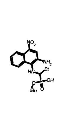 CCC(C)OP(=O)(O)C(CC)Nc1c(N)cc([N+](=O)[O-])c2ccccc12